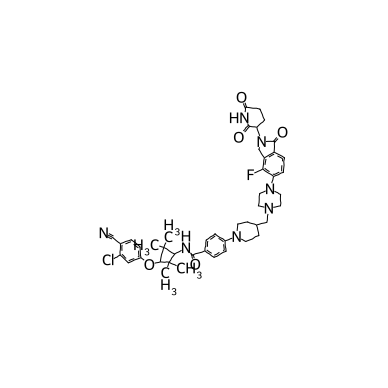 CC1(C)C(NC(=O)c2ccc(N3CCC(CN4CCN(c5ccc6c(c5F)CN(C5CCC(=O)NC5=O)C6=O)CC4)CC3)cc2)C(C)(C)C1Oc1ccc(C#N)c(Cl)c1